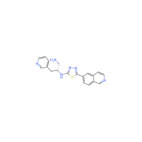 NC[C@@H](Cc1cccnc1)Nc1nnc(-c2ccc3cnccc3c2)s1